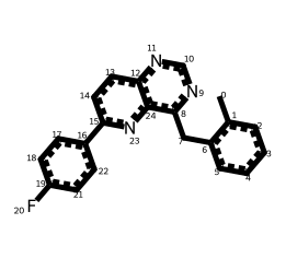 Cc1ccccc1Cc1ncnc2ccc(-c3ccc(F)cc3)nc12